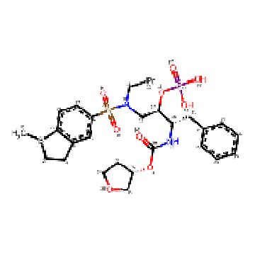 CB1CCc2cc(S(=O)(=O)N(CC(C)C)C[C@@H](OP(=O)(O)O)[C@H](Cc3ccccc3)NC(=O)O[C@H]3CCOC3)ccc21